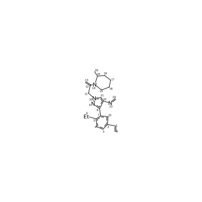 C=Cc1ccc(CC)c(-c2nn(CC(=C)N3CCCCC3C)cc2N=C)c1